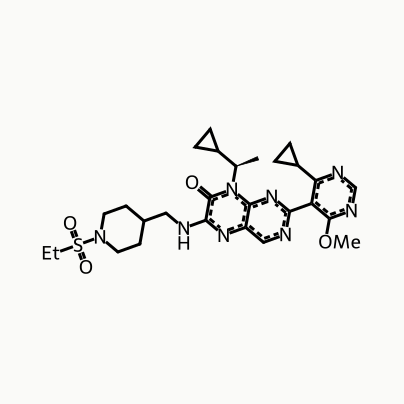 CCS(=O)(=O)N1CCC(CNc2nc3cnc(-c4c(OC)ncnc4C4CC4)nc3n([C@H](C)C3CC3)c2=O)CC1